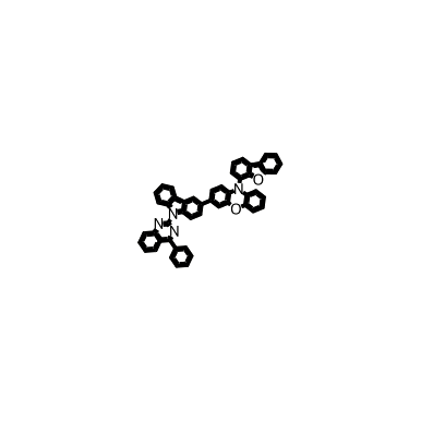 c1ccc(-c2nc(-n3c4ccccc4c4cc(-c5ccc6c(c5)Oc5ccccc5N6c5cccc6c5oc5ccccc56)ccc43)nc3ccccc23)cc1